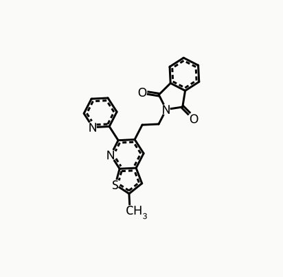 Cc1cc2cc(CCN3C(=O)c4ccccc4C3=O)c(-c3ccccn3)nc2s1